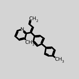 C=C/C=C(/c1ccc(-c2ccc(C)cc2)cc1)c1ncccc1C